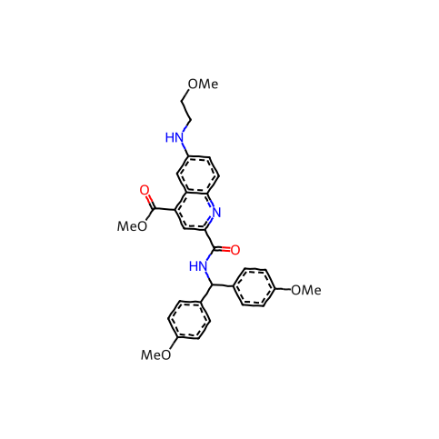 COCCNc1ccc2nc(C(=O)NC(c3ccc(OC)cc3)c3ccc(OC)cc3)cc(C(=O)OC)c2c1